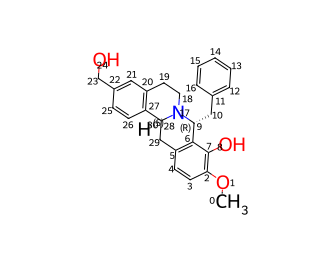 COc1ccc2c(c1O)[C@@H](Cc1ccccc1)N1CCc3cc(CO)ccc3[C@@H]1C2